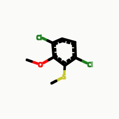 COc1c(Cl)ccc(Cl)c1SC